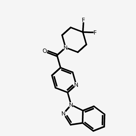 O=C(c1ccc(-n2ncc3ccccc32)nc1)N1CCC(F)(F)CC1